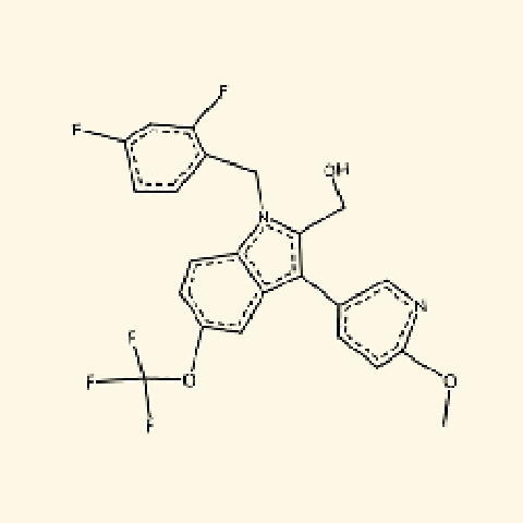 COc1ccc(-c2c(CO)n(Cc3ccc(F)cc3F)c3ccc(OC(F)(F)F)cc23)cn1